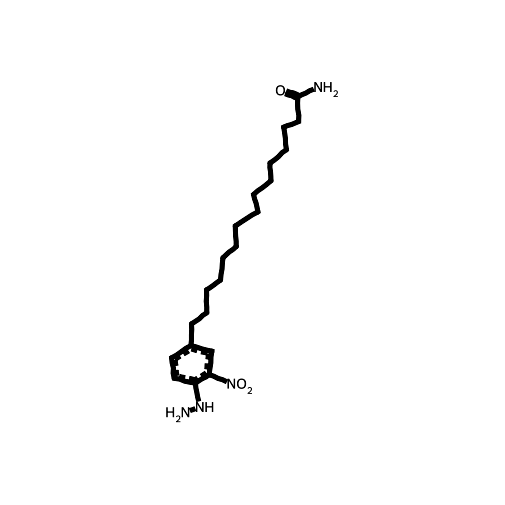 NNc1ccc(CCCCCCCCCCCCCCC(N)=O)cc1[N+](=O)[O-]